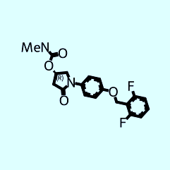 CNC(=O)O[C@@H]1CC(=O)N(c2ccc(OCc3c(F)cccc3F)cc2)C1